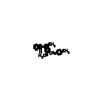 COc1cc2c(-c3cc4cccnc4[nH]3)cn(C)c2cc1OCCN1CCN(C)CC1